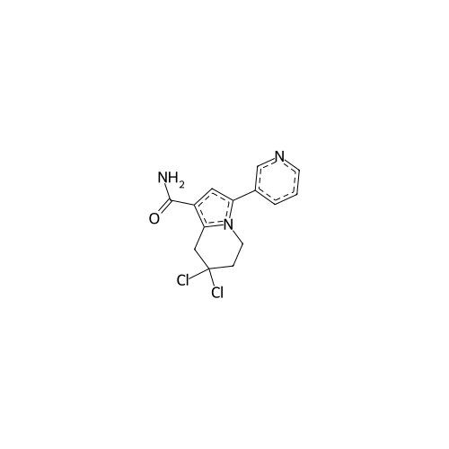 NC(=O)c1cc(-c2cccnc2)n2c1CC(Cl)(Cl)CC2